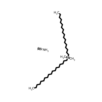 Br.CCCCCCCCCCCCCCCCCC[N+](C)(C)CCCCCCCCCCCCCCCCCC.N.[Br-]